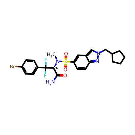 CN([C@@H](C(N)=O)C(F)(F)c1ccc(Br)cc1)S(=O)(=O)c1ccc2nn(CC3CCCC3)cc2c1